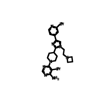 CC(C)c1cc(-c2cn(CCN3CCC3)c(C3CCN(c4ncnc(N)c4C(C)C)CC3)n2)ccn1